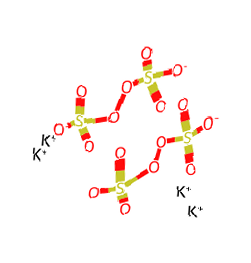 O=S(=O)([O-])OOS(=O)(=O)[O-].O=S(=O)([O-])OOS(=O)(=O)[O-].[K+].[K+].[K+].[K+]